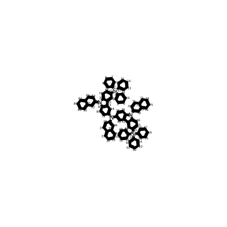 c1ccc([Si](c2ccccc2)(c2ccccc2)c2ccc3c(c2)c2cc(N(c4ccc5ccccc5c4)c4ccc5c(c4)c4cc([Si](c6ccccc6)(c6ccccc6)c6ccccc6)ccc4n5-c4ccc5ccccc5c4)ccc2n3-c2ccc3ccccc3c2)cc1